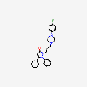 O=c1cc(C2CCCCC2)n(-c2ccccc2)n1CCCN1CCN(c2ccc(F)cc2)CC1